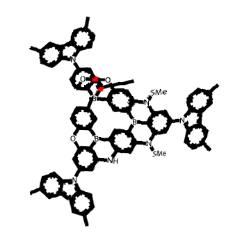 CSN1c2cc3c(cc2B2c4cc5c(cc4N(SC)c4cc(-n6c7ccc(C)cc7c7cc(C)ccc76)cc1c42)Oc1cc(-n2c4ccc(C)cc4c4cc(C)ccc42)cc2c1B5c1cc(C)ccc1O2)B1c2cc(C)ccc2Oc2cc(-n4c5ccc(C)cc5c5cc(C)ccc54)cc(c21)N3